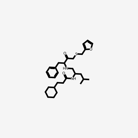 CC(C)CC(CNC(Cc1ccccc1)C(=O)CSCc1ccco1)NC(=O)CCC1CCCCC1